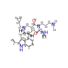 C=Cc1[nH]c2cccc3c2c1C[C@@H]1[C@@H]3CC(C(=O)N(CCCN(C)C)C(=O)NCC)CN1CC1CC1